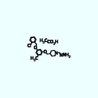 CC(=O)O.Cc1cc(OCc2ccccc2Cl)cc(OCC2CCN(C=NN)CC2)c1